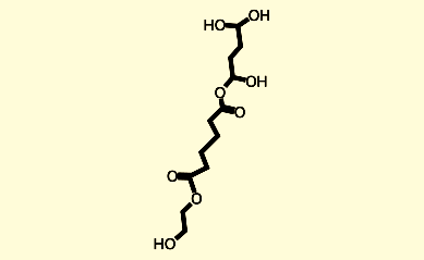 O=C(CCCCC(=O)OC(O)CCC(O)O)OCCO